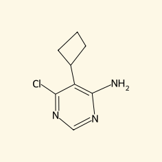 Nc1ncnc(Cl)c1C1CCC1